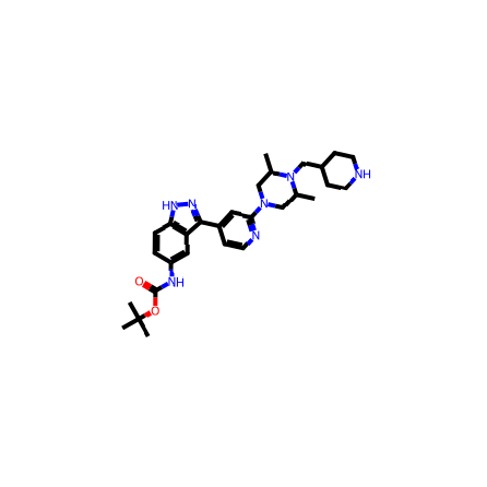 CC1CN(c2cc(-c3n[nH]c4ccc(NC(=O)OC(C)(C)C)cc34)ccn2)CC(C)N1CC1CCNCC1